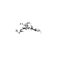 C=CC(=O)OCC[Si](CC)(OCC)OCC